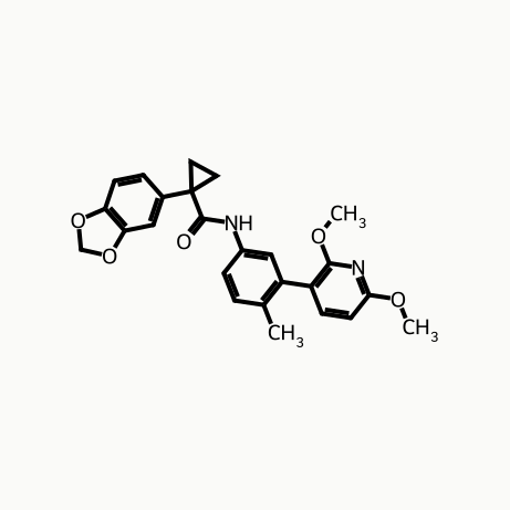 COc1ccc(-c2cc(NC(=O)C3(c4ccc5c(c4)OCO5)CC3)ccc2C)c(OC)n1